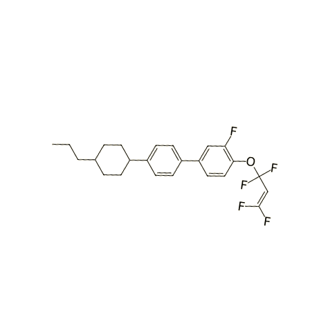 CCCC1CCC(c2ccc(-c3ccc(OC(F)(F)C=C(F)F)c(F)c3)cc2)CC1